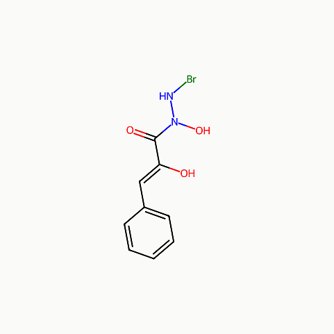 O=C(C(O)=Cc1ccccc1)N(O)NBr